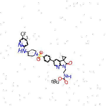 CC(C)(C)OC(=O)NCCN1C(=O)C2(CC2)c2cc(-c3ccc(S(=O)(=O)N4CCC(Nc5ccc(C(F)(F)F)cn5)CC4)cc3)cnc21